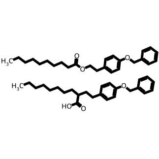 CCCCCCCCC(CCc1ccc(OCc2ccccc2)cc1)C(=O)O.CCCCCCCCCC(=O)OCCc1ccc(OCc2ccccc2)cc1